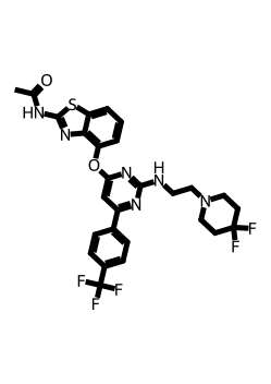 CC(=O)Nc1nc2c(Oc3cc(-c4ccc(C(F)(F)F)cc4)nc(NCCN4CCC(F)(F)CC4)n3)cccc2s1